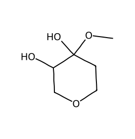 COC1(O)CCOCC1O